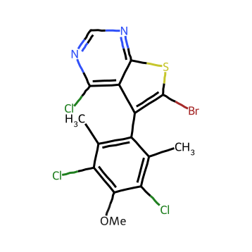 COc1c(Cl)c(C)c(-c2c(Br)sc3ncnc(Cl)c23)c(C)c1Cl